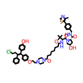 Cc1ncsc1-c1ccc(CNC(=O)[C@@H]2C[C@@H](O)CN2C(=O)C(NC(=O)CCCCCCC(=O)N2CCN(CCOc3ccc(C(=C(CCCl)c4ccccc4)c4ccc(O)cc4)cc3)CC2)C(C)(C)C)cc1